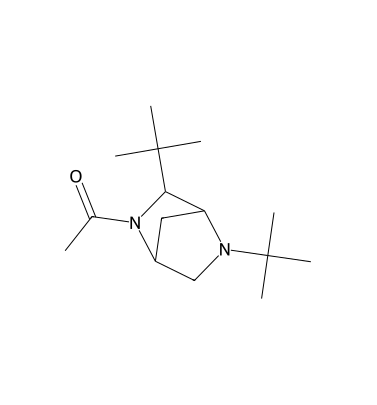 CC(=O)N1C2CC(C1C(C)(C)C)N(C(C)(C)C)C2